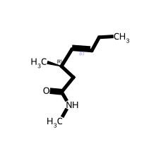 CC/C=C/[C@H](C)CC(=O)NC